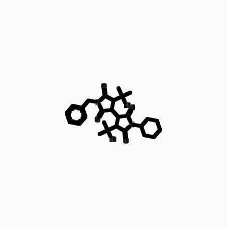 CCC(C)(C)C1C(=O)N(Cc2ccccc2)C(=O)C1C1C(=O)N(C2CCCCC2)C(=O)C1C(C)(C)CC